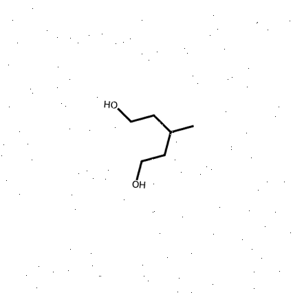 C[C](CCO)CCO